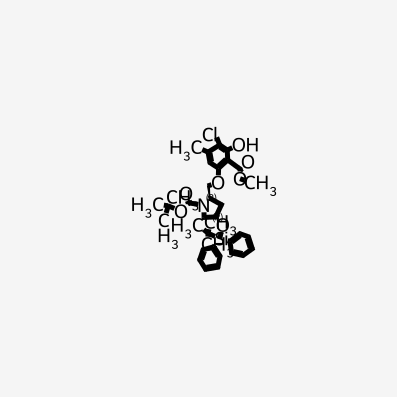 COC(=O)c1c(OC[C@H]2C[C@@H](O[Si](c3ccccc3)(c3ccccc3)C(C)(C)C)CN2C(=O)OC(C)(C)C)cc(C)c(Cl)c1O